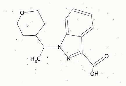 CC(C1CCOCC1)n1nc(C(=O)O)c2ccccc21